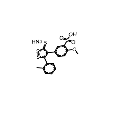 COc1ccc(-c2c(-c3ccccc3C)ssc2=S)cc1S(=O)(=O)O.[NaH]